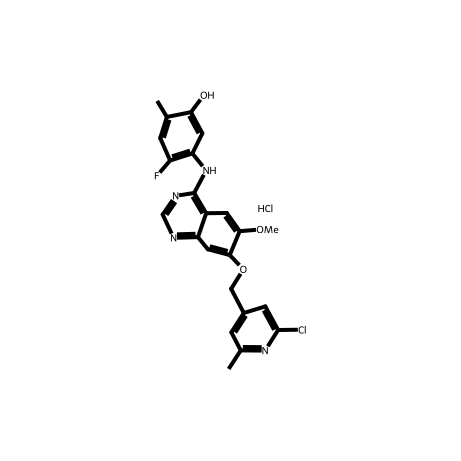 COc1cc2c(Nc3cc(O)c(C)cc3F)ncnc2cc1OCc1cc(C)nc(Cl)c1.Cl